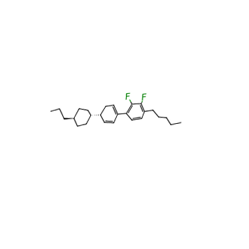 CCCCCc1ccc(C2=CCC([C@H]3CC[C@H](CCC)CC3)C=C2)c(F)c1F